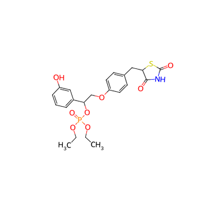 CCOP(=O)(OCC)OC(COc1ccc(CC2SC(=O)NC2=O)cc1)c1cccc(O)c1